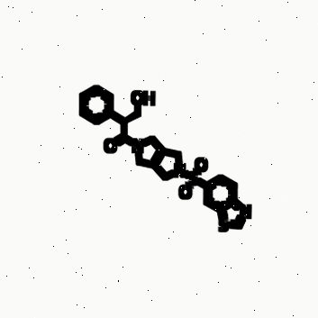 O=C([C@H](CO)c1ccccc1)N1CC2=C(C1)CN(S(=O)(=O)c1ccc3ncsc3c1)C2